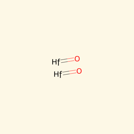 [O]=[Hf].[O]=[Hf]